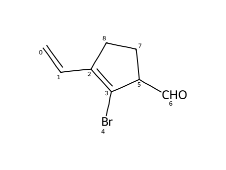 C=CC1=C(Br)C(C=O)CC1